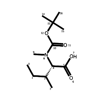 CCC(C)[C@@H](C(=O)O)N(C)C(=O)OC(C)(C)C